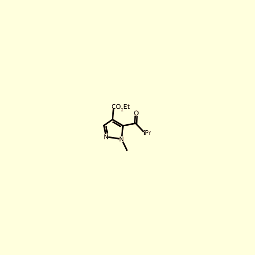 CCOC(=O)c1cnn(C)c1C(=O)C(C)C